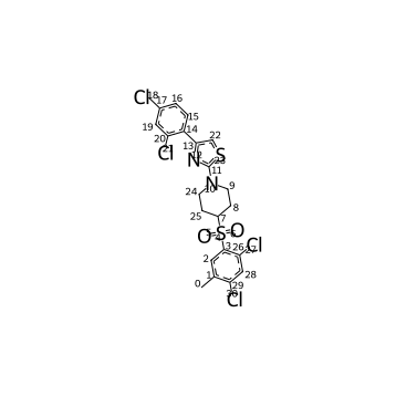 Cc1cc(S(=O)(=O)C2CCN(c3nc(-c4ccc(Cl)cc4Cl)cs3)CC2)c(Cl)cc1Cl